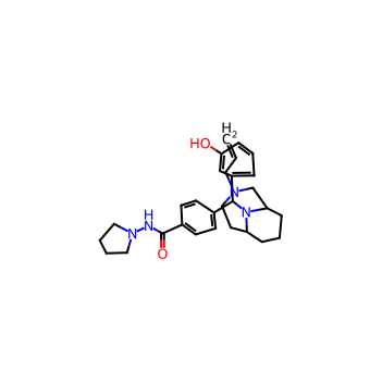 C=CCN1CCC2CCCC(C1)N2C(c1ccc(C(=O)NN2CCCC2)cc1)c1cccc(O)c1